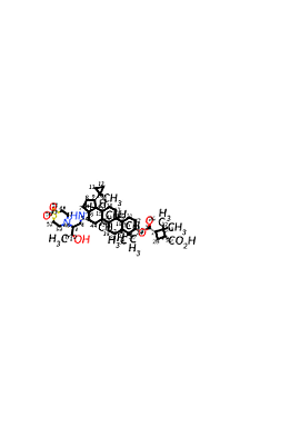 C[C@@H](O)C(CN[C@]12CC[C@@H](C3(C)CC3)[C@@H]1[C@H]1CC[C@@H]3[C@@]4(C)CC[C@H](OC(=O)[C@H]5C[C@@H](C(=O)O)C5(C)C)C(C)(C)[C@@H]4CC[C@@]3(C)[C@]1(C)CC2)N1CCS(=O)(=O)CC1